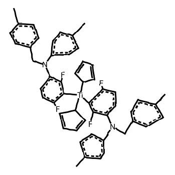 Cc1ccc(CN(c2ccc(C)cc2)c2ccc(F)[c]([Ti]([c]3c(F)ccc(N(Cc4ccc(C)cc4)c4ccc(C)cc4)c3F)([CH]3C=CC=C3)[CH]3C=CC=C3)c2F)cc1